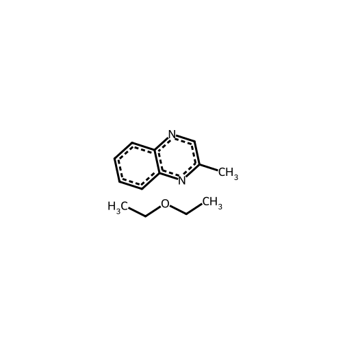 CCOCC.Cc1cnc2ccccc2n1